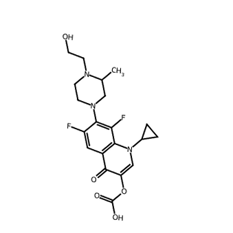 CC1CN(c2c(F)cc3c(=O)c(OC(=O)O)cn(C4CC4)c3c2F)CCN1CCO